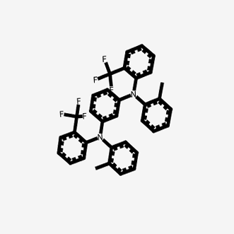 Cc1ccccc1N(c1cccc(N(c2ccccc2C)c2ccccc2C(F)(F)F)c1)c1ccccc1C(F)(F)F